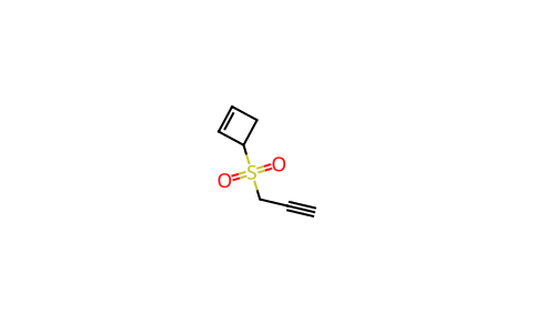 C#CCS(=O)(=O)C1C=CC1